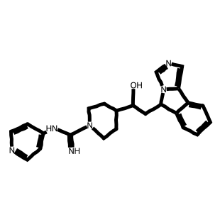 N=C(Nc1ccncc1)N1CCC(C(O)CC2c3ccccc3-c3cncn32)CC1